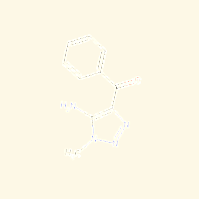 Cn1nnc(C(=O)c2ccccc2)c1N